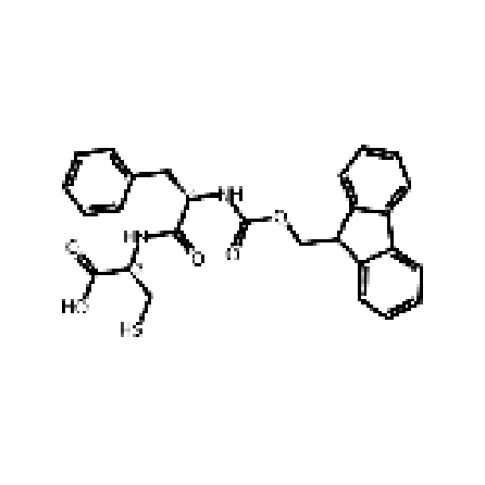 O=C(N[C@H](Cc1ccccc1)C(=O)N[C@@H](CS)C(=O)O)OCC1c2ccccc2-c2ccccc21